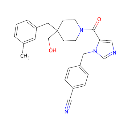 Cc1cccc(CC2(CO)CCN(C(=O)c3cncn3Cc3ccc(C#N)cc3)CC2)c1